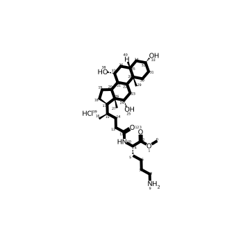 COC(=O)[C@H](CCCCN)NC(=O)CC[C@@H](C)[C@H]1CCC2C3C(C[C@H](O)[C@@]21C)[C@@]1(C)CC[C@@H](O)C[C@H]1C[C@H]3O.Cl